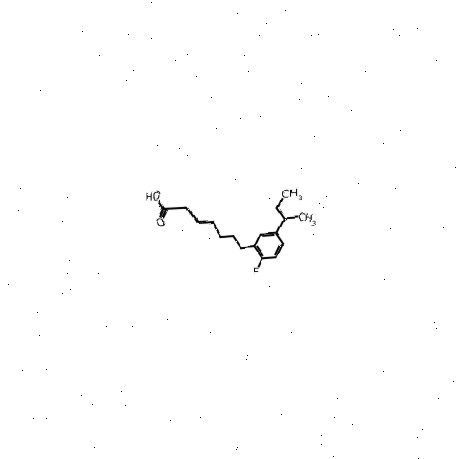 CCC(C)c1ccc(F)c(CCCCCCC(=O)O)c1